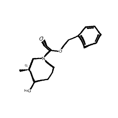 C[C@H]1CN(C(=O)OCc2ccccc2)CCC1O